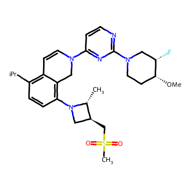 CO[C@@H]1CCN(c2nccc(N3C=Cc4c(C(C)C)ccc(N5C[C@H](CS(C)(=O)=O)[C@H]5C)c4C3)n2)C[C@@H]1F